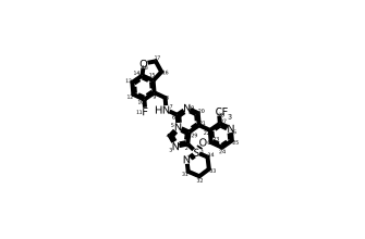 O=S1(c2ncn3c(NCc4c(F)ccc5c4CCO5)ncc(-c4cccnc4C(F)(F)F)c23)=NCCCC1